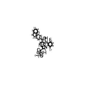 CCS(=O)(=O)NC(=O)c1cnn2c(Nc3cc(C)ccc3F)c(C(=O)N3CCC4(CCc5ccccc54)CC3)cnc12